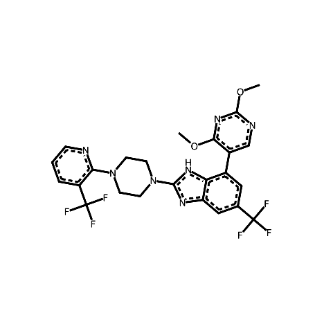 COc1ncc(-c2cc(C(F)(F)F)cc3nc(N4CCN(c5ncccc5C(F)(F)F)CC4)[nH]c23)c(OC)n1